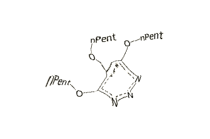 CCCCCOc1nnnc(OCCCCC)c1OCCCCC